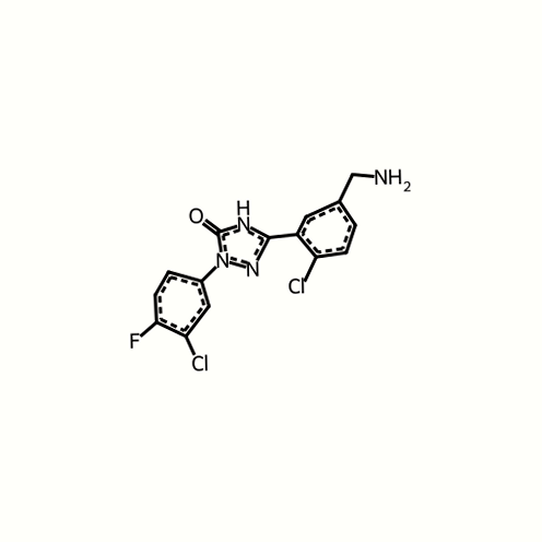 NCc1ccc(Cl)c(-c2nn(-c3ccc(F)c(Cl)c3)c(=O)[nH]2)c1